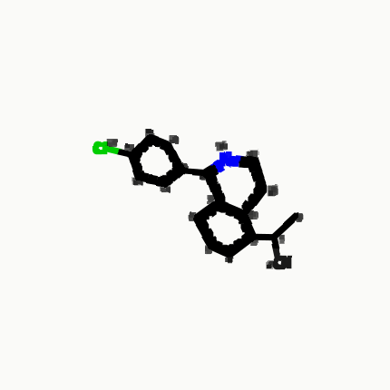 CC(C#N)c1cccc2c(-c3ccc(Cl)cc3)nccc12